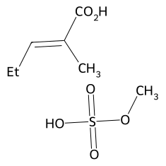 CCC=C(C)C(=O)O.COS(=O)(=O)O